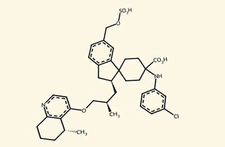 C[C@@H](COc1ccnc2c1[C@H](C)CCC2)C[C@H]1Cc2ccc(COS(=O)(=O)O)cc2C12CCC(Nc1cccc(Cl)c1)(C(=O)O)CC2